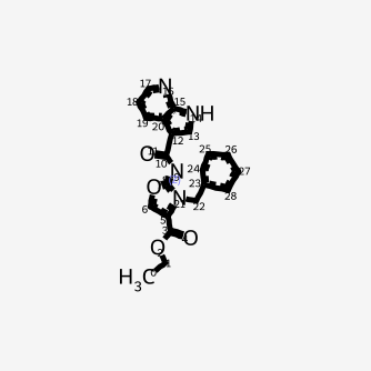 CCOC(=O)c1co/c(=N\C(=O)c2c[nH]c3ncccc23)n1Cc1ccccc1